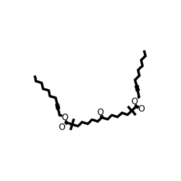 CCCCCCCC#CCOC(=O)C(C)(C)CCCCCC(=O)CCCCCC(C)(C)C(=O)OCC#CCCCCCCC